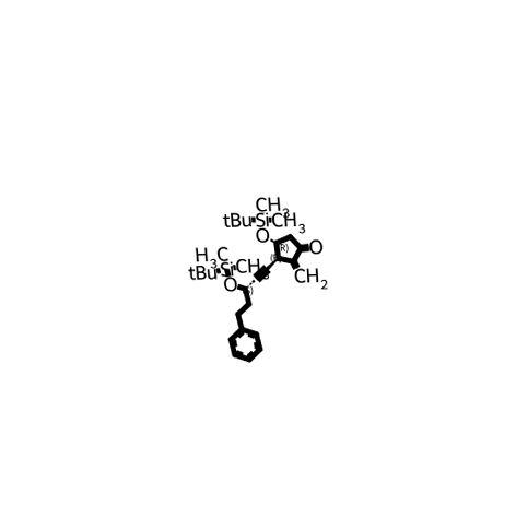 C=C1C(=O)C[C@@H](O[Si](C)(C)C(C)(C)C)[C@@H]1C#C[C@H](CCc1ccccc1)O[Si](C)(C)C(C)(C)C